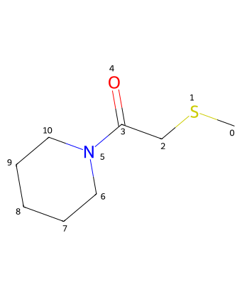 CSCC(=O)N1CCCCC1